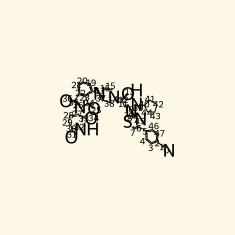 N#Cc1ccc(-c2csc(N(CC(=O)N3CCN(c4cccc5c4C(=O)N(C4CCC(=O)NC4=O)C5=O)CC3)NC3CCCC3)n2)cc1